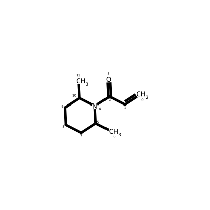 C=CC(=O)N1C(C)CCCC1C